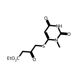 CCOC(=O)CC(=O)CSc1cc(=O)[nH]c(=O)n1C